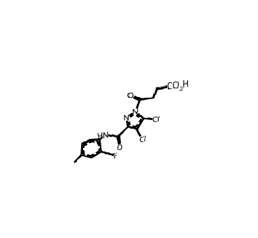 Cc1ccc(NC(=O)c2nn(C(=O)CCC(=O)O)c(Cl)c2Cl)c(F)c1